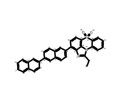 CCc1nc2c(-c3ccc4cc(-c5ccc6ccccc6c5)ccc4c3)ccc3c2n1-c1ccccc1S3(=O)=O